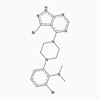 CN(C)c1c(Br)cccc1N1CCN(c2ncnc3[nH]nc(Br)c23)CC1